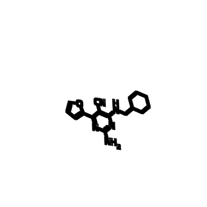 N#Cc1c(NCC2CCCCC2)nc(N)nc1-c1ccco1